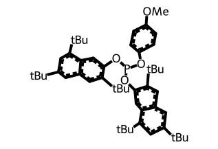 COc1ccc(OP(Oc2cc3c(C(C)(C)C)cc(C(C)(C)C)cc3cc2C(C)(C)C)Oc2cc3c(C(C)(C)C)cc(C(C)(C)C)cc3cc2C(C)(C)C)cc1